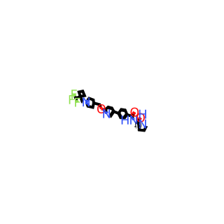 C[C@@]1(C(=O)NC(=O)c2ccc(-c3ccc(OCC4CCN(CC5(C(F)(F)F)CCC5)CC4)nc3)cc2)CCCN1